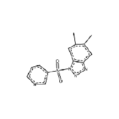 Cc1cc2nnn(S(=O)(=O)c3cccnc3)c2cc1C